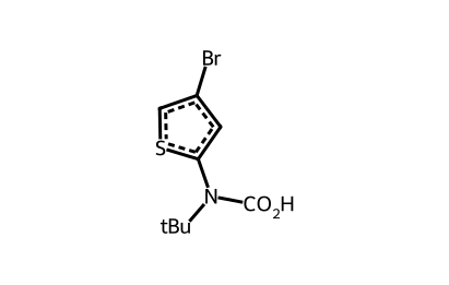 CC(C)(C)N(C(=O)O)c1cc(Br)cs1